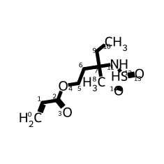 C=CC(=O)OCCC(C)(CC)N[SH](=O)=O